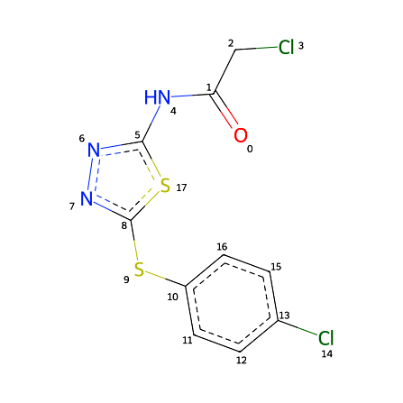 O=C(CCl)Nc1nnc(Sc2ccc(Cl)cc2)s1